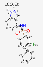 CCOC(=O)Cn1ncc2c1CCCC2NS(=O)(=O)c1ccc(-c2ccccc2)c(F)c1